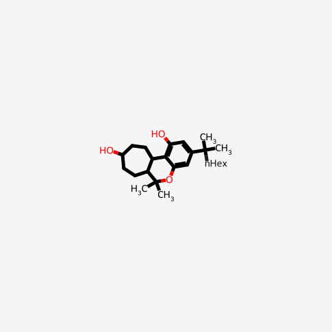 CCCCCCC(C)(C)c1cc(O)c2c(c1)OC(C)(C)C1CCC(O)CCC21